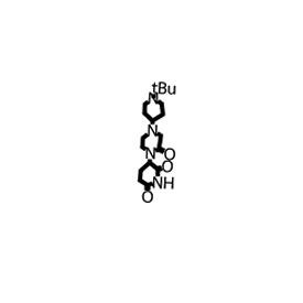 CC(C)(C)N1CCC(N2CCN(C3CCC(=O)NC3=O)C(=O)C2)CC1